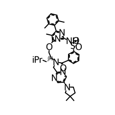 Cc1cccc(C)c1-c1nc2nc(c1C)OC[C@@H](CC(C)C)N(Cc1ncc(N3CCC(C)(C)C3)cn1)C(=O)c1cccc(c1)S(=O)(=O)N2